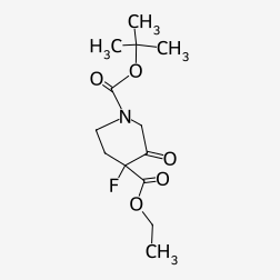 CCOC(=O)C1(F)CCN(C(=O)OC(C)(C)C)CC1=O